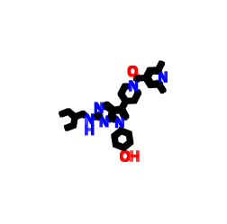 CCC(CC)CNc1ncc2c(C3CCN(C(=O)c4cc(C)nc(C)c4)CC3)cn([C@H]3CC[C@H](O)CC3)c2n1